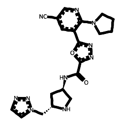 N#Cc1cnc(N2CCCC2)c(-c2nnc(C(=O)N[C@H]3CN[C@H](Cn4ccnn4)C3)o2)c1